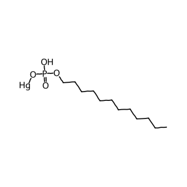 CCCCCCCCCCCCOP(=O)(O)[O][Hg]